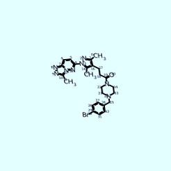 Cc1nn(-c2ccc3nnc(C)n3n2)c(C)c1CCC(=O)N1CCN(Cc2ccc(Br)cc2)CC1